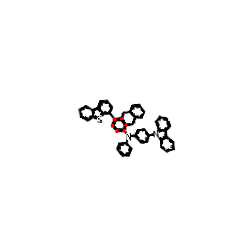 c1ccc(N(c2ccc(-n3c4ccccc4c4ccccc43)cc2)c2ccc(-c3cccc4c3sc3ccccc34)c3c2C2c4ccccc4C3c3ccccc32)cc1